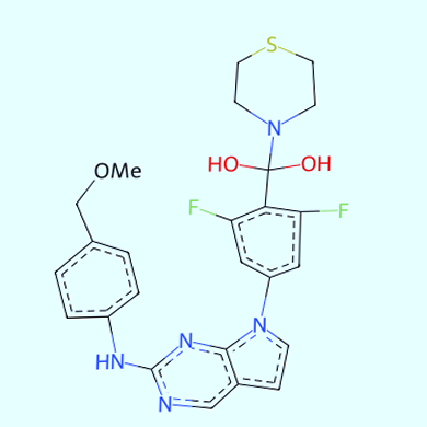 COCc1ccc(Nc2ncc3ccn(-c4cc(F)c(C(O)(O)N5CCSCC5)c(F)c4)c3n2)cc1